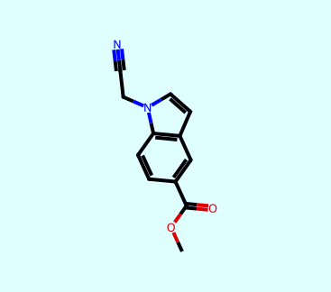 COC(=O)c1ccc2c(ccn2CC#N)c1